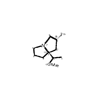 COC(C)[C@@]12CCCN1C[C@H](F)C2